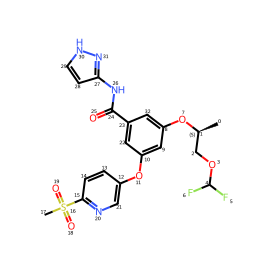 C[C@@H](COC(F)F)Oc1cc(Oc2ccc(S(C)(=O)=O)nc2)cc(C(=O)Nc2cc[nH]n2)c1